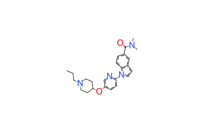 CCCN1CCC(Oc2ccc(-n3ccc4cc(C(=O)N(C)C)ccc43)nc2)CC1